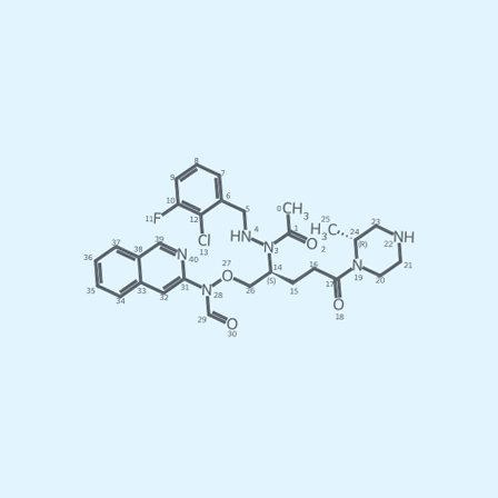 CC(=O)N(NCc1cccc(F)c1Cl)[C@@H](CCC(=O)N1CCNC[C@H]1C)CON(C=O)c1cc2ccccc2cn1